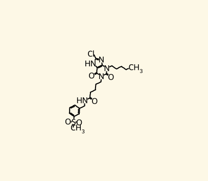 CCCCCn1c(=O)n(CCCCC(=O)NCc2cccc(S(C)(=O)=O)c2)c(=O)c2[nH]c(Cl)nc21